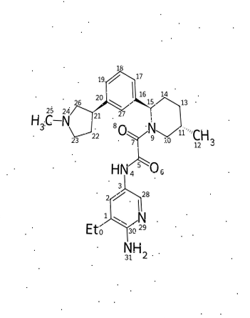 CCc1cc(NC(=O)C(=O)N2C[C@@H](C)CC[C@@H]2c2cccc([C@H]3CCN(C)C3)c2)cnc1N